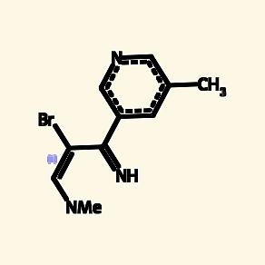 CN/C=C(/Br)C(=N)c1cncc(C)c1